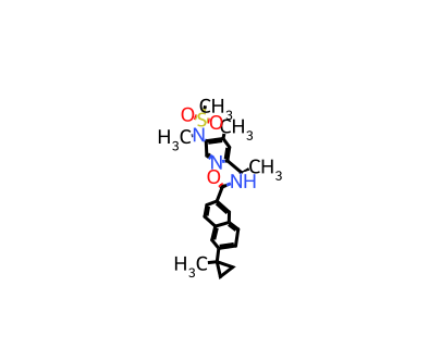 Cc1cc([C@@H](C)NC(=O)c2ccc3cc(C4(C)CC4)ccc3c2)ncc1N(C)S(C)(=O)=O